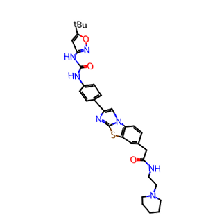 CC(C)(C)c1cc(NC(=O)Nc2ccc(-c3cn4c(n3)sc3cc(CC(=O)NCCN5CCCCC5)ccc34)cc2)no1